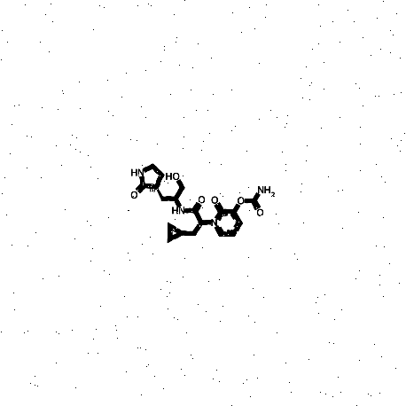 NC(=O)Oc1cccn(C(CC2CC2)C(=O)NC(CO)C[C@@H]2CCNC2=O)c1=O